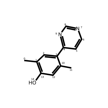 Cc1cc(-c2ccncn2)c(C)cc1O